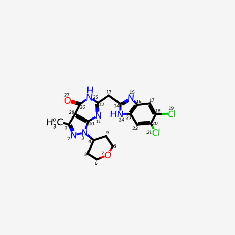 Cc1nn(C2CCOCC2)c2nc(Cc3nc4cc(Cl)c(Cl)cc4[nH]3)[nH]c(=O)c12